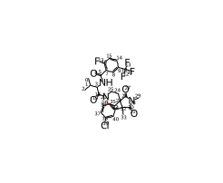 CC(C)[C@@H](NC(=O)c1cc(C(F)(F)F)ccc1F)C(=O)N1CCC2(CC1)C(=O)N(C)C(=O)C2(C)c1cccc(Cl)c1